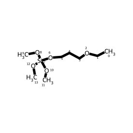 CCOCCCO[Si](OC)(OC)OC